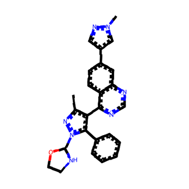 Cc1nn(C2NCCO2)c(-c2ccccc2)c1-c1ncnc2cc(-c3cnn(C)c3)ccc12